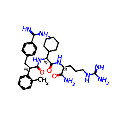 Cc1ccccc1[C@@H](Cc1ccc(C(=N)N)cc1)C(=O)N[C@H](C(=O)N[C@@H](CCCNC(=N)N)C(N)=O)C1CCCCC1